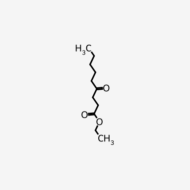 CCCCCC(=O)CCC(=O)OCC